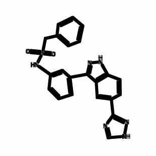 O=S(=O)(Cc1ccccc1)Nc1cccc(-c2n[nH]c3ccc(-c4nc[nH]n4)cc23)c1